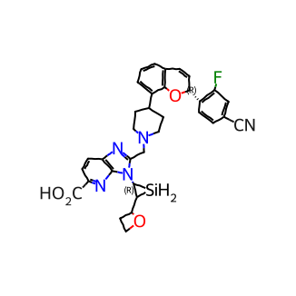 N#Cc1ccc([C@H]2C=Cc3cccc(C4CCN(Cc5nc6ccc(C(=O)O)nc6n5[C@@H]5[SiH2]C5C5CCO5)CC4)c3O2)c(F)c1